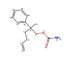 C=CCCC(C)(COC(N)=O)c1ccccc1